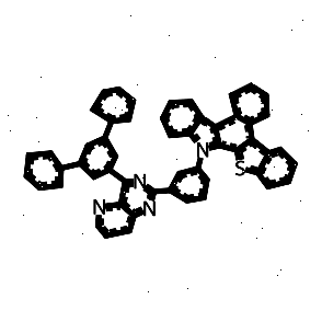 c1ccc(-c2cc(-c3ccccc3)cc(-c3nc(-c4cccc(-n5c6ccccc6c6c7ccccc7c7c8ccccc8sc7c65)c4)nc4cccnc34)c2)cc1